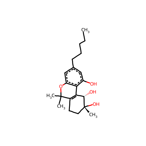 CCCCCc1cc(O)c2c(c1)OC(C)(C)C1=C2[C@H](O)[C@](C)(O)CC1